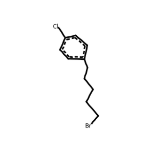 Clc1ccc(CCCCCBr)cc1